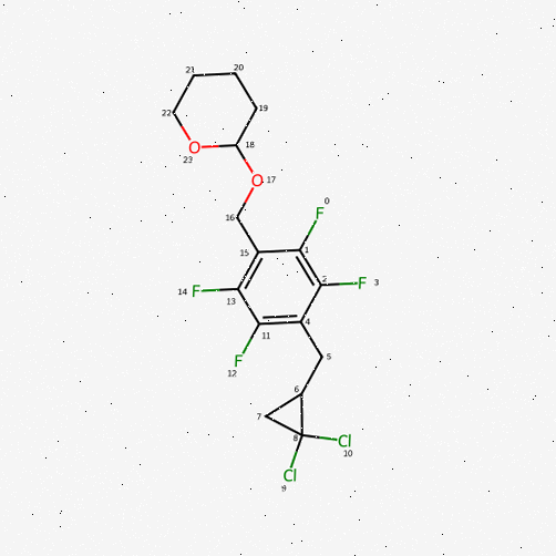 Fc1c(F)c(CC2CC2(Cl)Cl)c(F)c(F)c1COC1CCCCO1